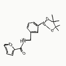 CC1(C)OB(c2cccc(CNC(=O)c3ccco3)c2)OC1(C)C